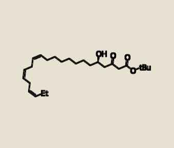 CC/C=C\C/C=C\C/C=C\CCCCCCC[C@@H](O)CC(=O)CC(=O)OC(C)(C)C